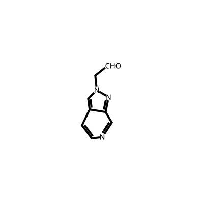 O=CCn1cc2ccncc2n1